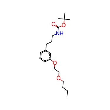 CCCCOCCOc1cccc(CCCNC(=O)OC(C)(C)C)c1